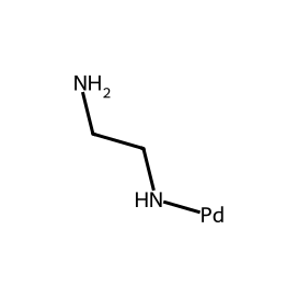 NCC[NH][Pd]